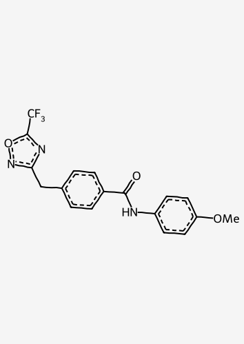 COc1ccc(NC(=O)c2ccc(Cc3noc(C(F)(F)F)n3)cc2)cc1